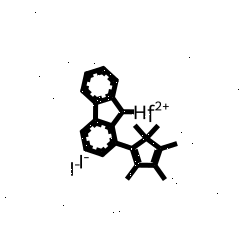 CC1=C(C)C(C)(C)C(c2cccc3c2[CH]([Hf+2])c2ccccc2-3)=C1C.[I-].[I-]